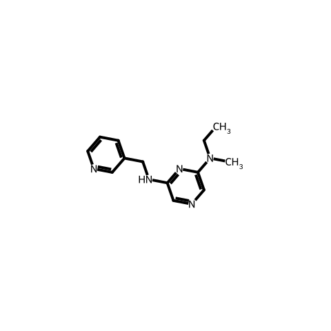 CCN(C)c1cncc(NCc2cccnc2)n1